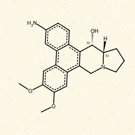 COc1cc2c3c(c4ccc(N)cc4c2cc1OC)[C@H](O)[C@@H]1CCCN1C3